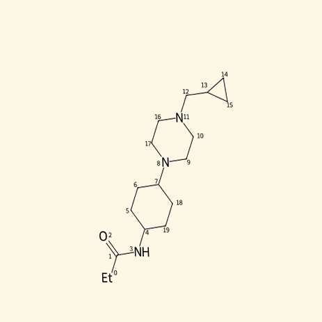 CCC(=O)NC1CCC(N2CCN(CC3CC3)CC2)CC1